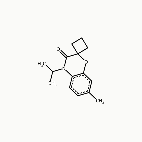 Cc1ccc2c(c1)OC1(CCC1)C(=O)N2C(C)C